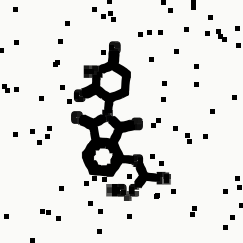 CCC(Oc1cccc2c1C(=O)N(C1CCC(=O)NC1=O)C2=O)C(=O)O